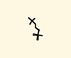 C[N+](C)(C)CCSS(C)(=O)=O